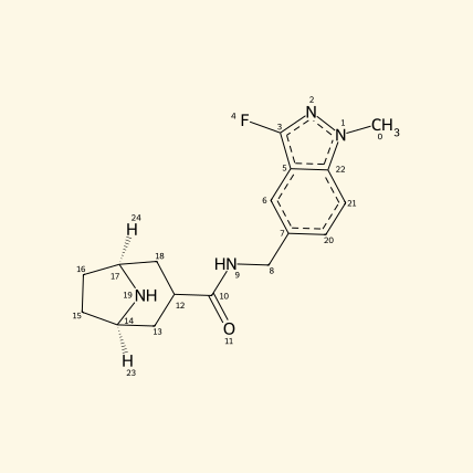 Cn1nc(F)c2cc(CNC(=O)C3C[C@H]4CC[C@@H](C3)N4)ccc21